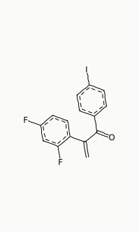 C=C(C(=O)c1ccc(I)cc1)c1ccc(F)cc1F